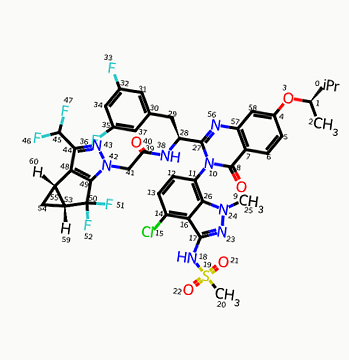 CC(C)[C@@H](C)Oc1ccc2c(=O)n(-c3ccc(Cl)c4c(NS(C)(=O)=O)nn(C)c34)c([C@H](Cc3cc(F)cc(F)c3)NC(=O)Cn3nc(C(F)F)c4c3C(F)(F)[C@@H]3C[C@H]43)nc2c1